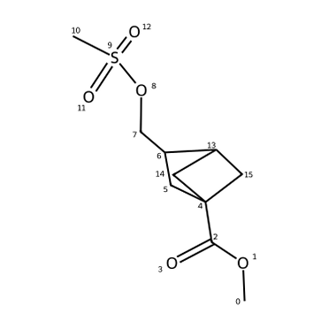 COC(=O)C12CC(COS(C)(=O)=O)C(C1)C2